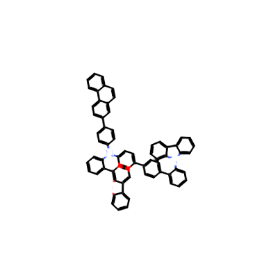 c1ccc(N(c2ccc(-c3ccc(-c4ccccc4-n4c5ccccc5c5ccccc54)cc3)cc2)c2ccc(-c3ccc4c(ccc5ccccc54)c3)cc2)c(-c2cccc3c2oc2ccccc23)c1